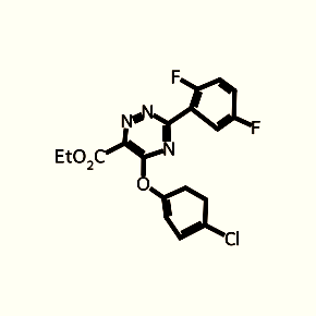 CCOC(=O)c1nnc(-c2cc(F)ccc2F)nc1OC1=CC=C(Cl)CC1